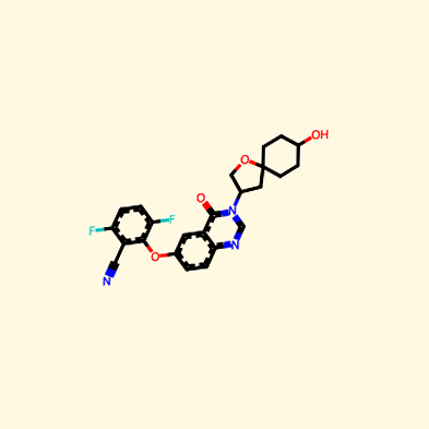 N#Cc1c(F)ccc(F)c1Oc1ccc2ncn(C3COC4(CCC(O)CC4)C3)c(=O)c2c1